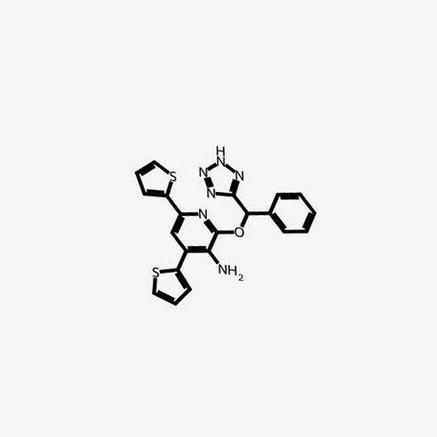 Nc1c(-c2cccs2)cc(-c2cccs2)nc1OC(c1ccccc1)c1nn[nH]n1